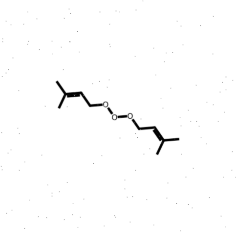 CC(C)=CCOOOCC=C(C)C